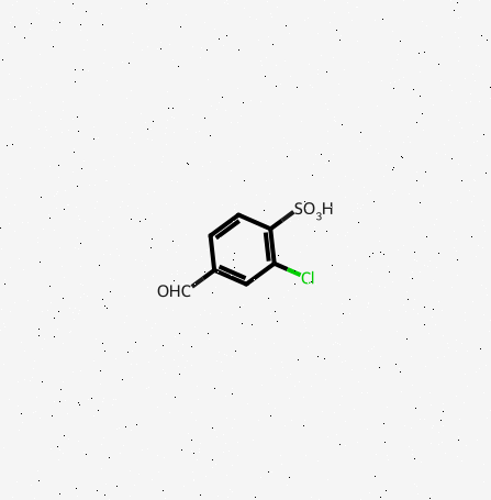 O=Cc1ccc(S(=O)(=O)O)c(Cl)c1